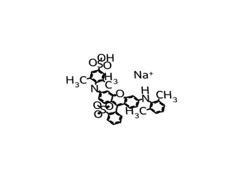 Cc1cc(S(=O)(=O)O)cc(C)c1N=c1ccc2c(-c3ccccc3S(=O)(=O)[O-])c3ccc(Nc4c(C)cccc4C)cc3oc-2c1.[Na+]